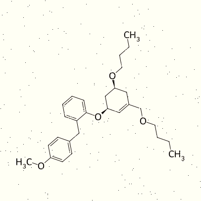 CCCCOCC1=C[C@@H](Oc2ccccc2Cc2ccc(OC)cc2)C[C@@H](OCCCC)C1